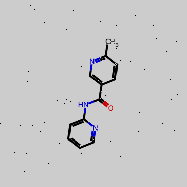 Cc1ccc(C(=O)Nc2ccccn2)cn1